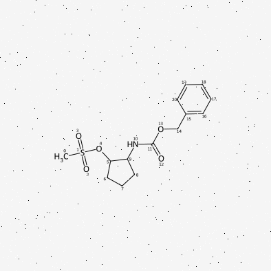 CS(=O)(=O)OC1CCCC1NC(=O)OCc1ccccc1